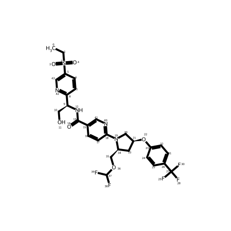 CCS(=O)(=O)c1ccc([C@H](CO)NC(=O)c2ccc(N3C[C@@H](Oc4ccc(C(F)(F)F)cc4)C[C@H]3COC(F)F)nc2)nc1